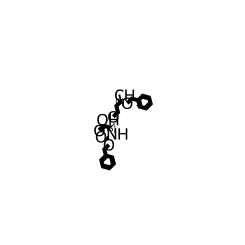 C[C@H](CCOC[C@H](NC(=O)OCc1ccccc1)C(=O)O)OCc1ccccc1